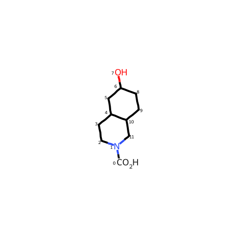 O=C(O)N1CCC2CC(O)CCC2C1